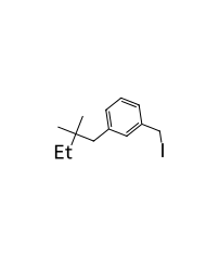 CCC(C)(C)Cc1cccc(CI)c1